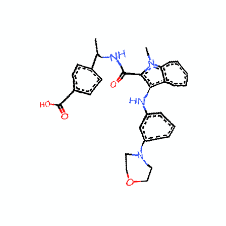 CC(NC(=O)c1c(Nc2cccc(N3CCOCC3)c2)c2ccccc2n1C)c1ccc(C(=O)O)cc1